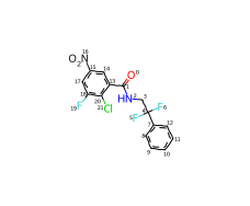 O=C(NCC(F)(F)c1ccccc1)c1cc([N+](=O)[O-])cc(F)c1Cl